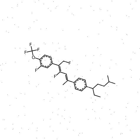 CCC(CCC(C)C)c1ccc(/C(C)=C/C(F)=C(\CF)c2ccc(OC(F)(F)F)c(F)c2)cc1